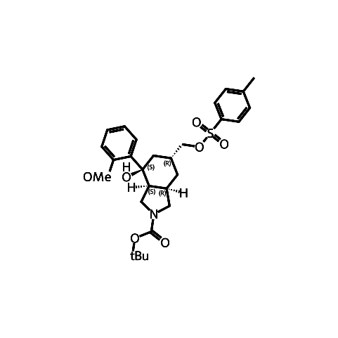 COc1ccccc1[C@]1(O)C[C@H](COS(=O)(=O)c2ccc(C)cc2)C[C@H]2CN(C(=O)OC(C)(C)C)C[C@H]21